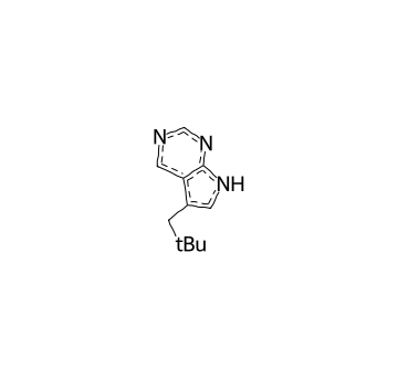 CC(C)(C)Cc1c[nH]c2ncncc12